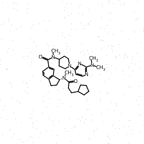 CN(C)c1nccc(N2CCC(N(C)C(=O)c3ccc4c(c3)[C@H](N(C)C(=O)CCC3CCCC3)CC4)CC2)n1